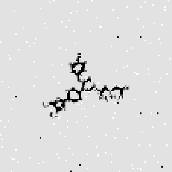 Cc1nc(C2CCC(N3C[C@H](/C(N)=C/N(N)CC(=O)O)OC[C@@H]3Cc3ccc(Cl)cc3)CC2)sc1C